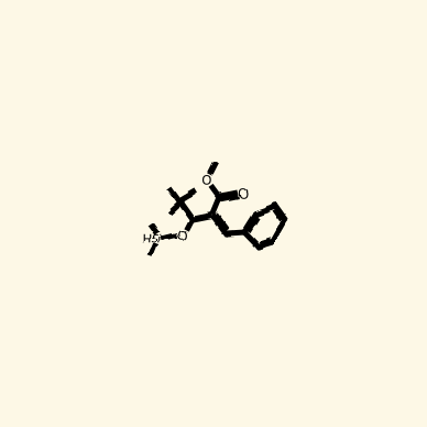 COC(=O)C(=Cc1ccccc1)C(O[SiH](C)C)C(C)(C)C